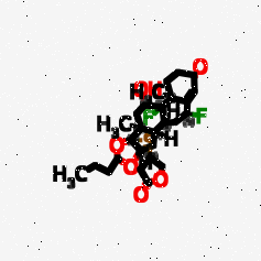 CCCC1O[C@@H]2C[C@H]3[C@@H]4C[C@H](F)C5=CC(=O)CC[C@]5(C)[C@@]4(F)[C@@H](O)C[C@]3(C)[C@]2(S[C@H]2COC(=O)C2)O1